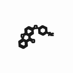 CC(=O)[C@H]1CC[C@H](Oc2ccc3oc4ccccc4c(=O)c3c2)CC1